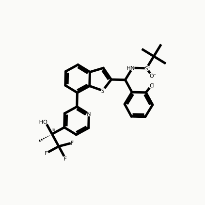 CC(C)(C)[S+]([O-])NC(c1cc2cccc(-c3cc([C@](C)(O)C(F)(F)F)ccn3)c2s1)c1ccccc1Cl